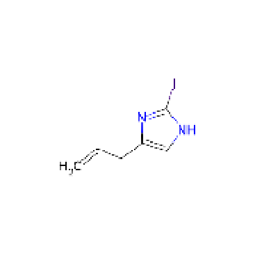 C=CCc1c[nH]c(I)n1